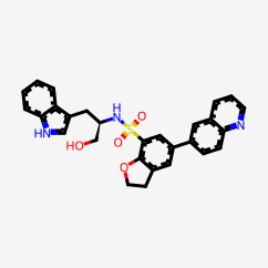 O=S(=O)(N[C@@H](CO)Cc1c[nH]c2ccccc12)c1cc(-c2ccc3ncccc3c2)cc2c1OCC2